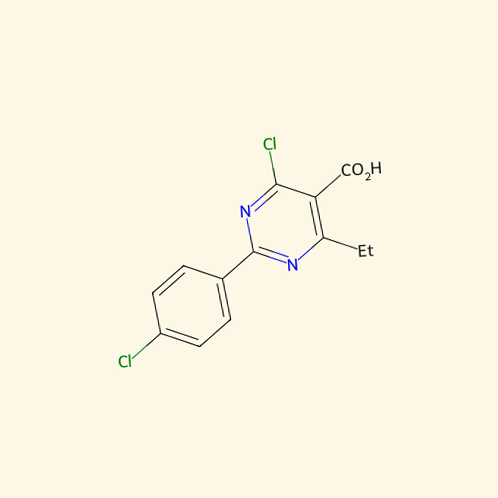 CCc1nc(-c2ccc(Cl)cc2)nc(Cl)c1C(=O)O